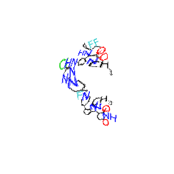 Cn1nc(C2CCC(=O)NC2=O)c2cccc(C3CCN(CC4(F)CCN(c5ncc(Cl)c(Nc6ccc7c(c6)c6c(c(=O)n7C)OCC(F)(F)C(C7CC7)N6)n5)CC4)CC3)c21